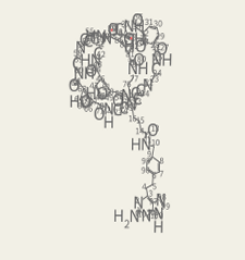 Nc1nc(CCc2ccc(CNC(=O)CCCCCN3CCN4CCNC(=O)c5cccc(c5O)C(=O)NCCN(CCNC(=O)c5cccc(c5O)C3=O)CCN3CCNC(=O)c5cccc(c5O)C(=O)NCCN(CCNC(=O)c5cccc(c5O)C(=O)NCC3)CC4)cc2)c2nc[nH]c2n1